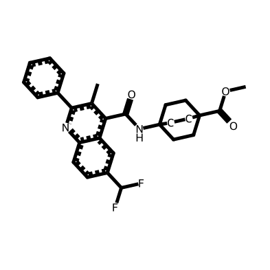 COC(=O)C12CCC(NC(=O)c3c(C)c(-c4ccccc4)nc4ccc(C(F)F)cc34)(CC1)CC2